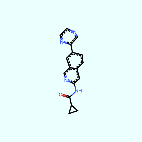 O=C(Nc1cc2ccc(-c3cnccn3)cc2cn1)C1CC1